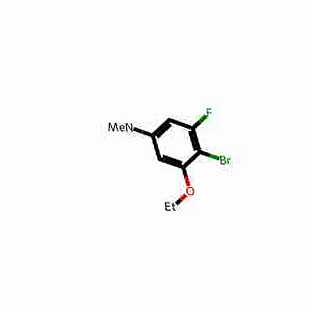 CCOc1cc(NC)cc(F)c1Br